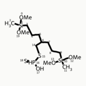 CO[Si](C)(CCCC(CCC[Si](C)(OC)OC)CS[PH](O)=S)OC